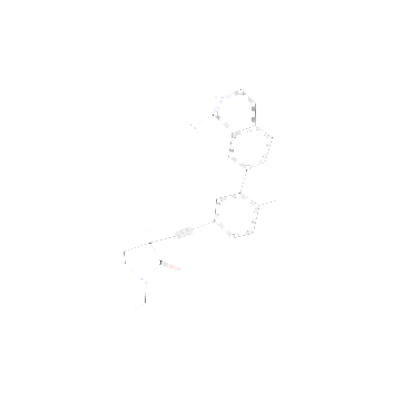 Cc1ccc(C#C[C@]2(O)CCN(CC(F)(F)F)C2=O)cc1-c1ccc2ccnc(N)c2c1